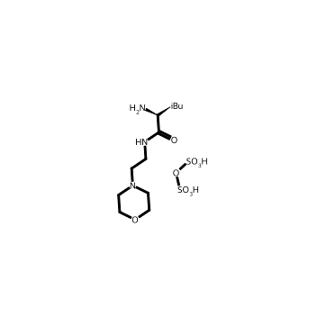 CC[C@H](C)[C@H](N)C(=O)NCCN1CCOCC1.O=S(=O)(O)OS(=O)(=O)O